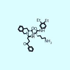 CCc1ccc(NC(=O)[C@H](CCCCN)NC(=O)[C@@H]2Cc3ccccc3CN2C(=O)CCC(=O)c2ccccc2)cc1CC